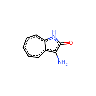 Nc1c2cccccc-2[nH]c1=O